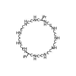 CC(C)C1CNCCNCCNCCNCCNC(C(C)C)CNCCNCCNCCNCCNCCN1